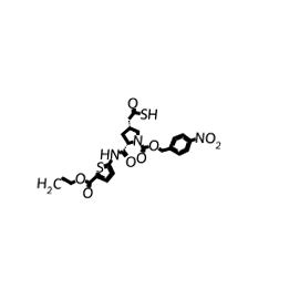 C=CCOC(=O)c1ccc(NC(=O)[C@@H]2C[C@H](CC(=O)S)CN2C(=O)OCc2ccc([N+](=O)[O-])cc2)s1